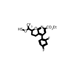 CCOC(=O)c1cc(-c2ccc(F)cc2F)c2c(n1)OC(C(OS)C(F)(F)F)CC2